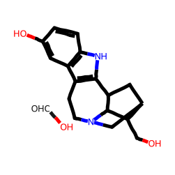 O=CO.OCC1C2CC3c4[nH]c5ccc(O)cc5c4CCN(C2)C31